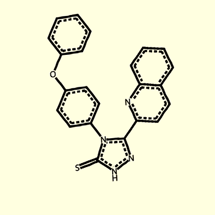 S=c1[nH]nc(-c2ccc3ccccc3n2)n1-c1ccc(Oc2ccccc2)cc1